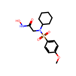 COc1ccc(S(=O)(=O)N(CC(=O)NO)C2CCCCC2)cc1